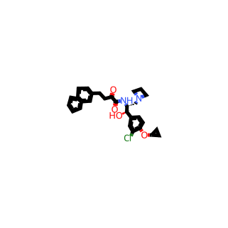 O=C(CCc1ccc2ccccc2c1)C(=O)N[C@H](CN1CCC1)[C@H](O)c1ccc(OC2CC2)c(Cl)c1